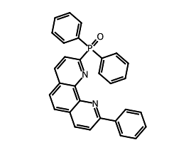 O=P(c1ccccc1)(c1ccccc1)c1ccc2ccc3ccc(-c4ccccc4)nc3c2n1